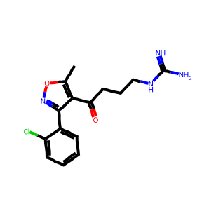 Cc1onc(-c2ccccc2Cl)c1C(=O)CCCNC(=N)N